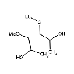 CCOCC(C)O.COCC(C)O